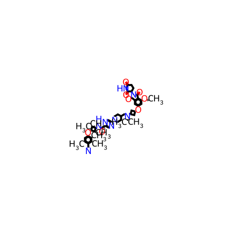 CCOc1cc(OC2CC(N(CC3CCN(c4cnc(C(=O)NC5C(C)(C)C(Oc6cc(C)c(C#N)c(C)c6)C5(C)C)cn4)CC3)C(C)C)C2)cc2c1C(=O)N([C@@H]1CCC(=O)NC1=O)C2=O